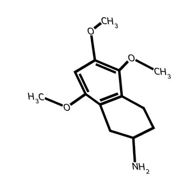 COc1cc(OC)c(OC)c2c1CC(N)CC2